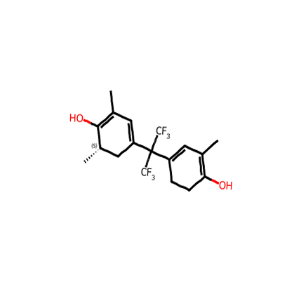 CC1=C(O)CCC(C(C2=CC(C)=C(O)[C@@H](C)C2)(C(F)(F)F)C(F)(F)F)=C1